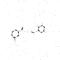 Cc1cccc(C(=O)N/N=C/c2cc(Cl)cc(C(F)(F)F)c2O)c1